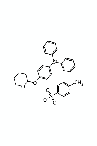 Cc1ccc(S(=O)(=O)[O-])cc1.c1ccc([S+](c2ccccc2)c2ccc(OC3CCCCO3)cc2)cc1